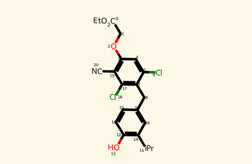 CCOC(=O)COc1cc(Cl)c(Cc2ccc(O)c(C(C)C)c2)c(Cl)c1C#N